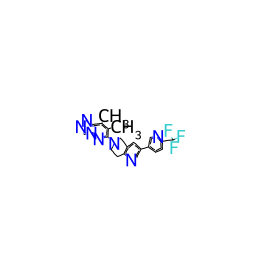 Cc1c(N2CCc3ncc(-c4ccc(C(F)(F)F)nc4)cc3C2)nn2cnnc2c1C